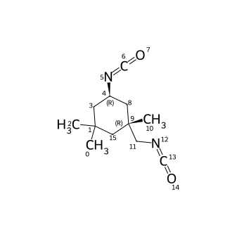 CC1(C)C[C@@H](N=C=O)C[C@](C)(CN=C=O)C1